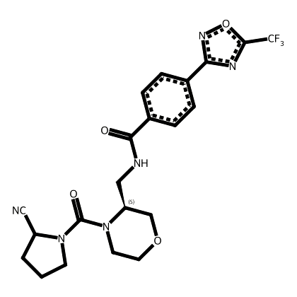 N#CC1CCCN1C(=O)N1CCOC[C@@H]1CNC(=O)c1ccc(-c2noc(C(F)(F)F)n2)cc1